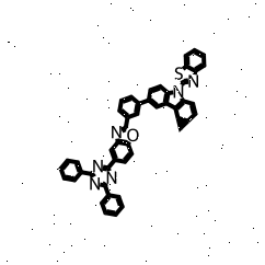 C1=c2ccc3c(c2=1)c1cc(-c2cccc(-c4nc5cc(-c6nc(-c7ccccc7)nc(-c7ccccc7)n6)ccc5o4)c2)ccc1n3-c1nc2ccccc2s1